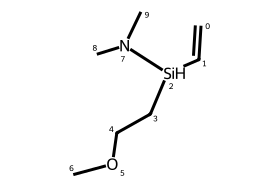 C=C[SiH](CCOC)N(C)C